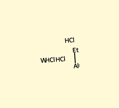 C[CH2][Al].Cl.Cl.Cl.[W]